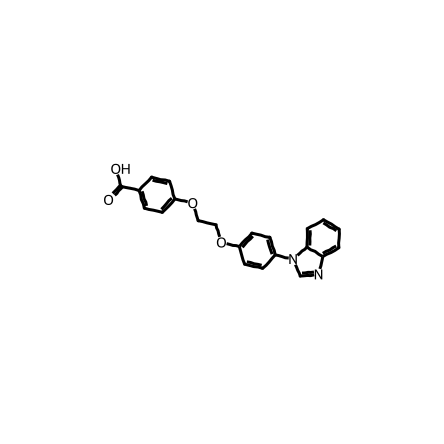 O=C(O)c1ccc(OCCOc2ccc(-n3cnc4ccccc43)cc2)cc1